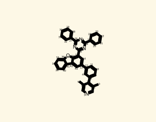 Cc1cncc(C)c1-c1cccc(-c2cc(-c3nc(-c4ccccc4)nc(-c4ccccc4)n3)c3oc4ccccc4c3c2)c1